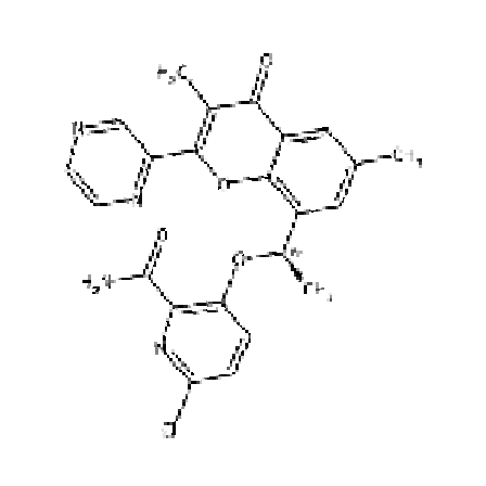 Cc1cc([C@@H](C)Oc2ccc(Cl)nc2C(N)=O)c2oc(-c3cnccn3)c(C)c(=O)c2c1